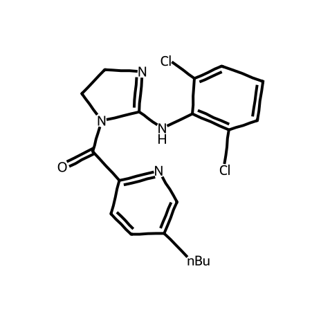 CCCCc1ccc(C(=O)N2CCN=C2Nc2c(Cl)cccc2Cl)nc1